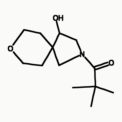 CC(C)(C)C(=O)N1CC(O)C2(CCOCC2)C1